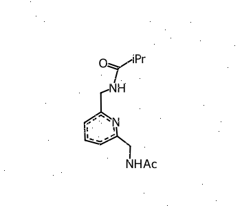 CC(=O)NCc1cccc(CNC(=O)C(C)C)n1